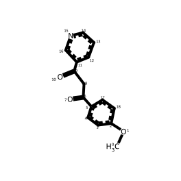 COc1ccc(C(=O)CC(=O)c2cccnc2)cc1